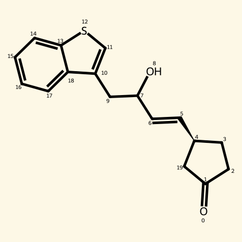 O=C1CC[C@H](/C=C/C(O)Cc2csc3ccccc23)C1